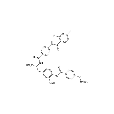 CCCCCCCOc1ccc(C(=O)Oc2ccc(CC(NC(=O)c3ccc(NC(=O)c4ccc(F)cc4F)cc3)C(=O)O)cc2OC)cc1